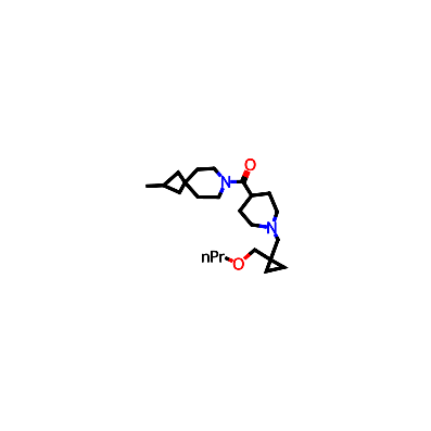 CCCOCC1(CN2CCC(C(=O)N3CCC4(CC3)CC(C)C4)CC2)CC1